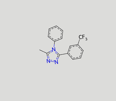 Cc1nnc(-c2cccc(C(F)(F)F)c2)n1-c1ccccc1